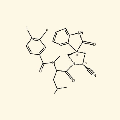 CC(C)CC(C(=O)N1C[C@]2(C[C@H]1C#N)C(=O)Nc1ccccc12)N(C)C(=O)c1ccc(F)c(F)c1